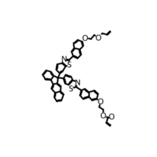 C=CCOCCOc1ccc2cc(-c3nc4ccc(C5(c6ccc7nc(-c8ccc9cc(OCCOC(=O)C=C)ccc9c8)sc7c6)c6ccccc6-c6cc7ccccc7cc65)cc4s3)ccc2c1